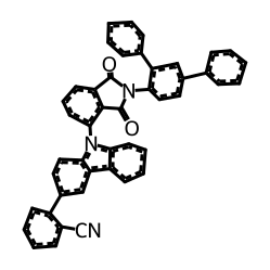 N#Cc1ccccc1-c1ccc2c(c1)c1ccccc1n2-c1cccc2c1C(=O)N(c1ccc(-c3ccccc3)cc1-c1ccccc1)C2=O